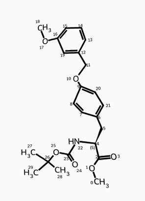 COC(=O)[C@H](Cc1ccc(OCc2cccc(OC)c2)cc1)NC(=O)OC(C)(C)C